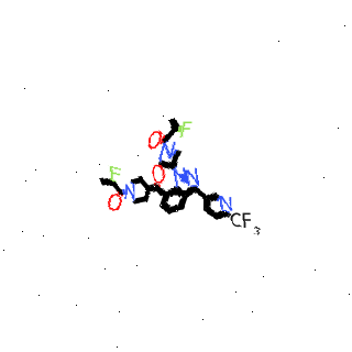 C=C(F)C(=O)N1CCC(C(=O)c2cccc3c(-c4ccc(C(F)(F)F)nc4)nn(C4CN(C(=O)C(=C)F)C4)c23)CC1